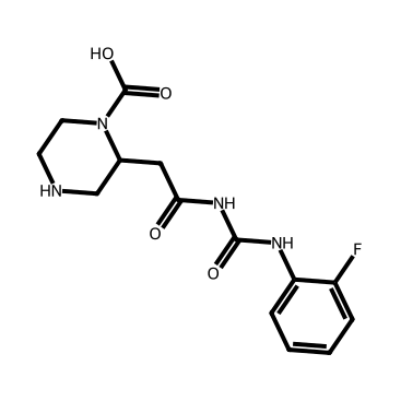 O=C(CC1CNCCN1C(=O)O)NC(=O)Nc1ccccc1F